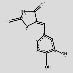 O=C1NC(=S)S/C1=C\c1ccc(O)c(O)c1